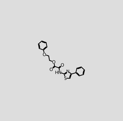 O=C(Nc1nc(-c2ccccc2)cs1)C(=O)OCCOc1ccccc1